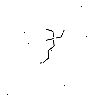 CC[N+](C)(CC)CCCBr